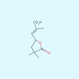 CC(=CC1CC(C)(C)C(=O)O1)C(=O)O